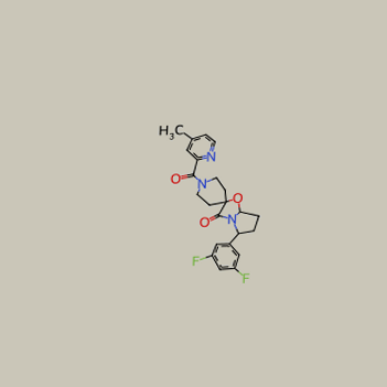 Cc1ccnc(C(=O)N2CCC3(CC2)OC2CCC(c4cc(F)cc(F)c4)N2C3=O)c1